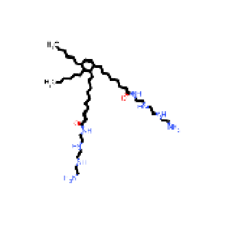 CCCCCCC1C=CC(CCCCCCCC(=O)NCCNCCNCCN)C(C=CCCCCCCCC(=O)NCCNCCNCCN)C1CCCCCC